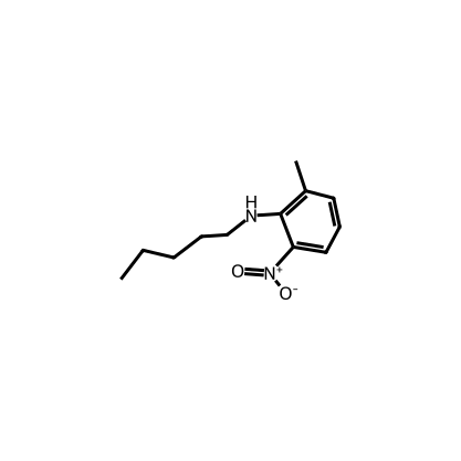 CCCCCNc1c(C)cccc1[N+](=O)[O-]